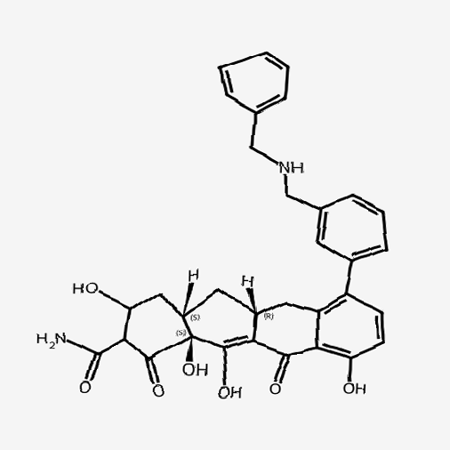 NC(=O)C1C(=O)[C@@]2(O)C(O)=C3C(=O)c4c(O)ccc(-c5cccc(CNCc6ccccc6)c5)c4C[C@H]3C[C@H]2CC1O